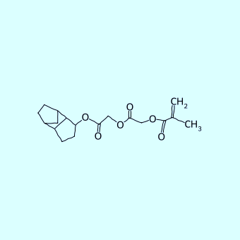 C=C(C)C(=O)OCC(=O)OCC(=O)OC1CCC2C3CCC(C3)C12